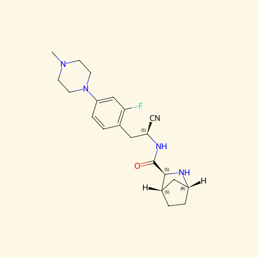 CN1CCN(c2ccc(C[C@@H](C#N)NC(=O)[C@H]3N[C@@H]4CC[C@H]3C4)c(F)c2)CC1